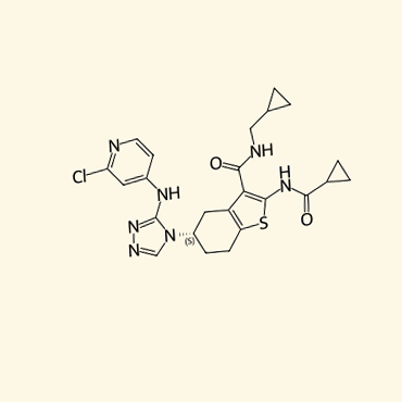 O=C(NCC1CC1)c1c(NC(=O)C2CC2)sc2c1C[C@@H](n1cnnc1Nc1ccnc(Cl)c1)CC2